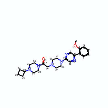 COc1ccccc1-c1cnc(N2CCN(CC(=O)N3CCN(C4CCC4)CC3)CC2)cn1